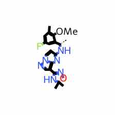 COc1c(C)cc(F)cc1[C@H](C)Nc1ccn2ncc(C3=NOC(C)(C)N3)c2n1